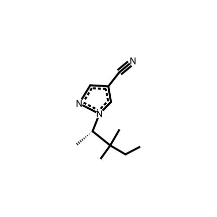 CCC(C)(C)[C@H](C)n1cc(C#N)cn1